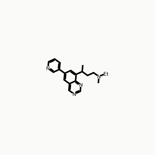 CCN(C)CCC(C)c1cc(-c2cccnc2)cc2cncnc12